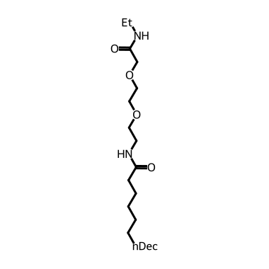 CCCCCCCCCCCCCCCC(=O)NCCOCCOCC(=O)NCC